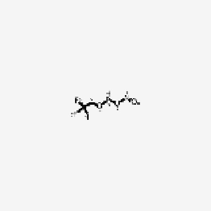 O=NOPOCC(F)(F)F